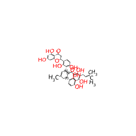 CC(C)=CCc1c(O)ccc(C(=O)[C@@H]2[C@@H](c3c(O)ccc(C4CC(=O)c5c(O)cc(O)cc5O4)c3O)C=C(C)C[C@H]2c2ccc(O)cc2O)c1O